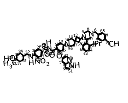 C#Cc1ccc(CN2CCN(C3CC4(CCN(c5ccc(C(=O)NS(=O)(=O)c6ccc(NCC7CCC(C)(O)CC7)c([N+](=O)[O-])c6)c(Oc6cnc7[nH]ccc7c6)c5)CC4)C3)C(c3ccccc3C(C)C)C2)cc1